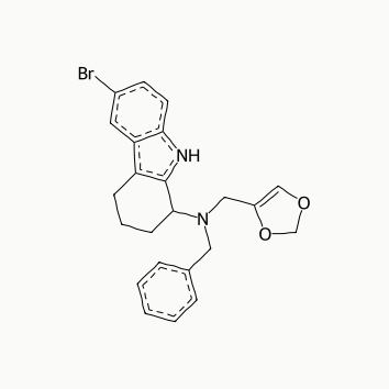 Brc1ccc2[nH]c3c(c2c1)CCCC3N(CC1=COCO1)Cc1ccccc1